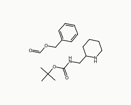 CC(C)(C)OC(=O)NCC1CCCCN1.O=COCc1ccccc1